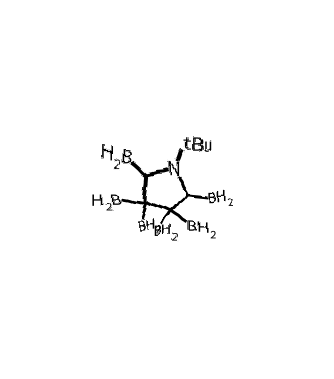 BC1N(C(C)(C)C)C(B)C(B)(B)C1(B)B